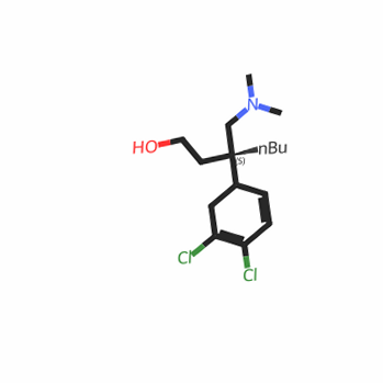 CCCC[C@@](CCO)(CN(C)C)C1C=CC(Cl)=C(Cl)C1